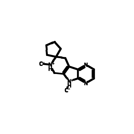 [CH2-][NH+]1C2=C(CC3(CCCC3)[NH+]([CH2-])C2)c2nccnc21